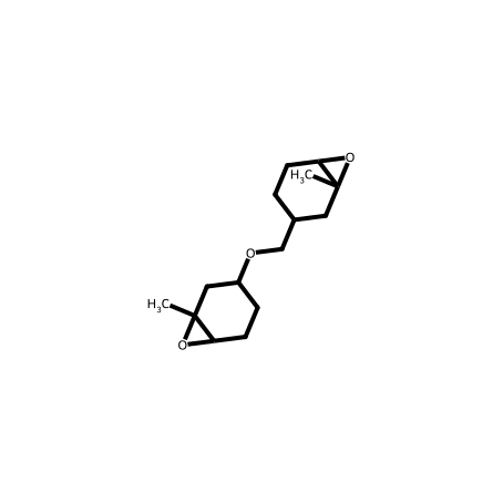 CC12CC(COC3CCC4OC4(C)C3)CCC1O2